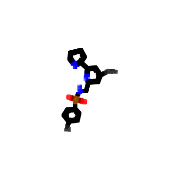 COc1cc(CNS(=O)(=O)c2ccc(C(C)=O)cc2)nc(-c2ccccn2)c1